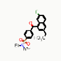 CCCN(CC)S(=O)(=O)c1ccc(C(=O)c2cc(CC(=O)O)cc3ccc(F)cc23)cc1